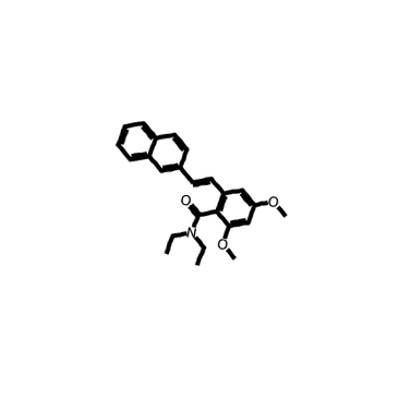 CCN(CC)C(=O)c1c(/C=C/c2ccc3ccccc3c2)cc(OC)cc1OC